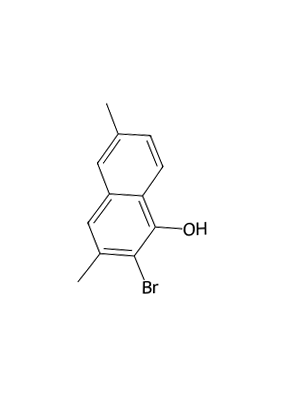 Cc1ccc2c(O)c(Br)c(C)cc2c1